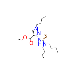 CCCCN(CCCC)C(=S)Nc1nn(CCCC)cc1C(=O)OCC